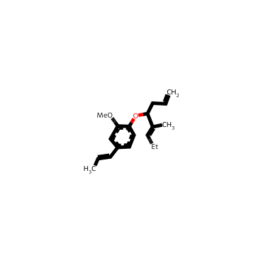 C=CCC(Oc1ccc(C=CC)cc1OC)C(C)=CCC